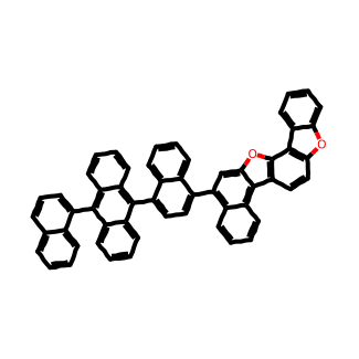 c1ccc2c(-c3c4ccccc4c(-c4ccc(-c5cc6oc7c(ccc8oc9ccccc9c87)c6c6ccccc56)c5ccccc45)c4ccccc34)cccc2c1